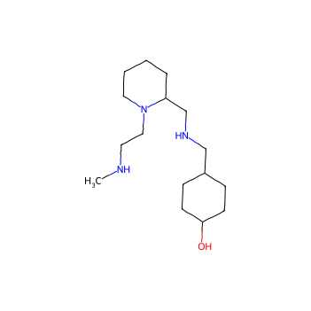 CNCCN1CCCCC1CNCC1CCC(O)CC1